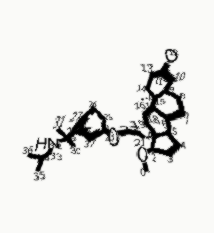 COC1CCC2C3CCC4CC(=O)CC[C@]4(C)C3CC[C@]12CCOc1cccc(C(C)(C)NCC(C)C)c1